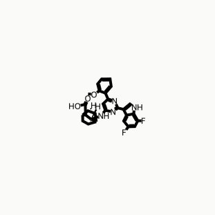 COc1ccccc1-c1cc(N[C@@H]2C3CCC(CC3)[C@H]2C(=O)O)nc(-c2c[nH]c3c(F)cc(F)cc23)n1